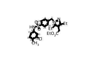 CCOC(=O)Cc1c(CC)nn(Cc2ccc(S(=O)(=O)Nc3ccc(C)c(Cl)c3)cc2)c1CC